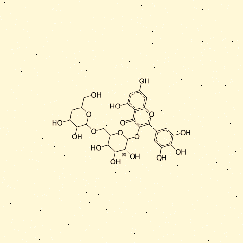 O=c1c(OC2OC(COC3OC(CO)CC(O)C3O)C(O)C(O)[C@H]2O)c(-c2cc(O)c(O)c(O)c2)oc2cc(O)cc(O)c12